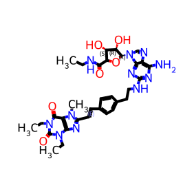 CCNC(=O)C1O[C@@H](n2cnc3c(N)nc(NCCc4ccc(/C=C/c5nc6c(c(=O)n(CC)c(=O)n6CC)n5C)cc4)nc32)[C@H](O)[C@@H]1O